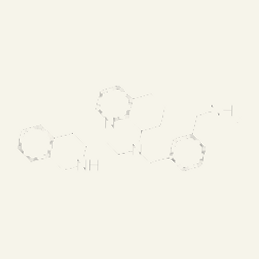 NCc1cccc(CN(CC[C@H]2Cc3ccccc3CN2)C2CCCc3cccnc32)c1